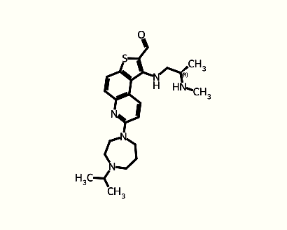 CN[C@H](C)CNc1c(C=O)sc2ccc3nc(N4CCCN(C(C)C)CC4)ccc3c12